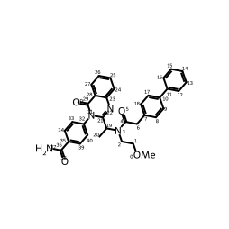 COCCN(C(=O)Cc1ccc(-c2ccccc2)cc1)C(C)c1nc2ccccc2c(=O)n1-c1ccc(C(N)=O)cc1